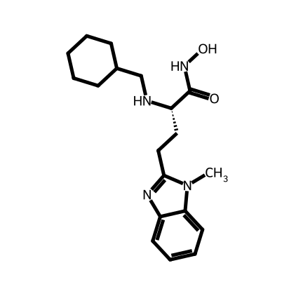 Cn1c(CC[C@H](NCC2CCCCC2)C(=O)NO)nc2ccccc21